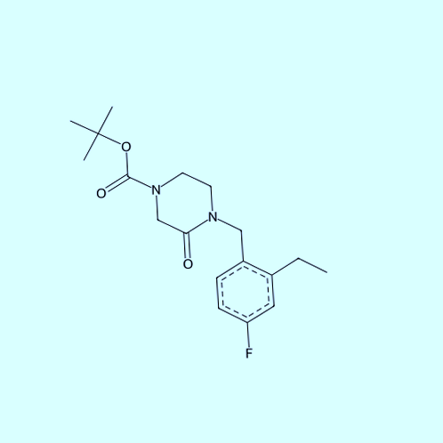 CCc1cc(F)ccc1CN1CCN(C(=O)OC(C)(C)C)CC1=O